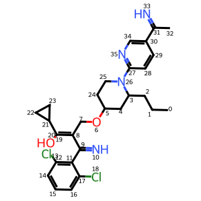 CCCC1CC(OC/C(C(=N)c2c(Cl)cccc2Cl)=C(/O)C2CC2)CCN1c1ccc(C(C)=N)cn1